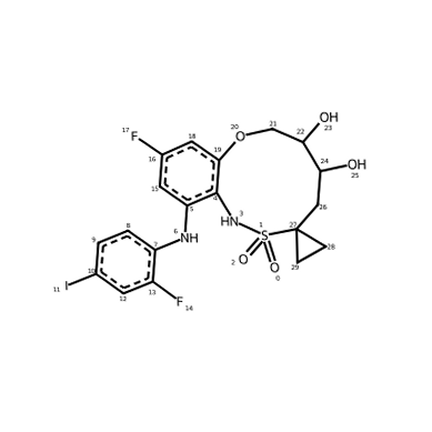 O=S1(=O)Nc2c(Nc3ccc(I)cc3F)cc(F)cc2OCC(O)C(O)CC12CC2